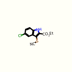 CCOC(=O)c1[nH]c2ccc(Cl)cc2c1SC#N